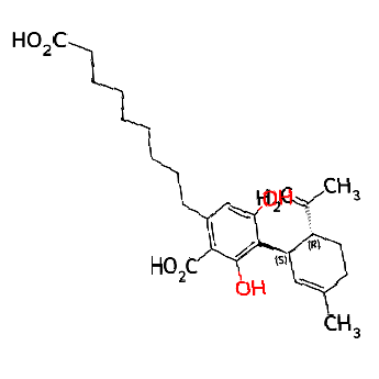 C=C(C)[C@@H]1CCC(C)=C[C@H]1c1c(O)cc(CCCCCCCCC(=O)O)c(C(=O)O)c1O